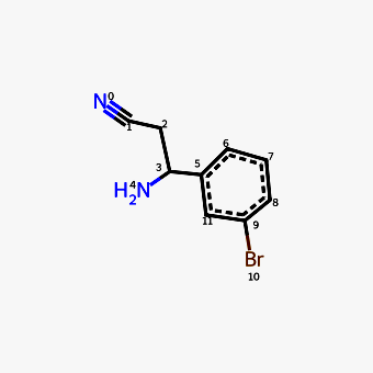 N#CCC(N)c1cccc(Br)c1